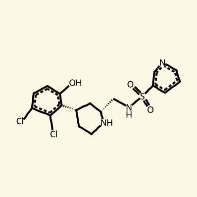 O=S(=O)(NC[C@H]1C[C@@H](c2c(O)ccc(Cl)c2Cl)CCN1)c1cccnc1